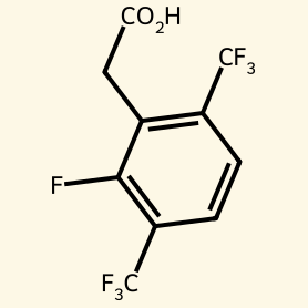 O=C(O)Cc1c(C(F)(F)F)ccc(C(F)(F)F)c1F